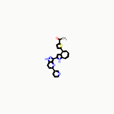 CC(=O)c1ccc(C2=CC=C=Cc3[nH]c(-c4n[nH]c5ccc(-c6cccnc6)nc45)cc32)s1